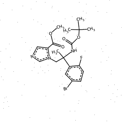 COC(=O)c1cncn1CC(C)(NC(=O)OC(C)(C)C)c1cc(Br)ccc1F